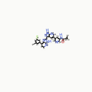 Cc1cc(F)cc(-c2ccnc3[nH]c(-c4n[nH]c5ncc(-c6cncc(NC(=O)C7CC7)c6)cc45)nc23)c1